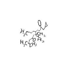 C=C[C@@](C)(CC(=O)CC(=C)C)C(CCCC)CCC(=O)CC1CC1